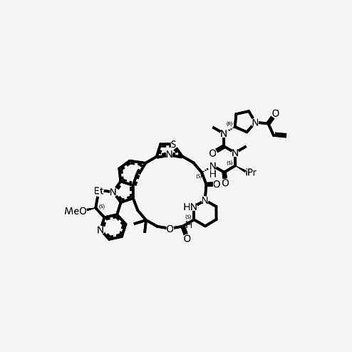 C=CC(=O)N1CC[C@@H](N(C)C(=O)N(C)[C@H](C(=O)N[C@H]2Cc3nc(cs3)-c3ccc4c(c3)c(c(-c3cccnc3[C@H](C)OC)n4CC)CC(C)(C)COC(=O)[C@@H]3CCCN(N3)C2=O)C(C)C)C1